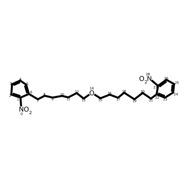 O=[N+]([O-])c1ccccc1CCCCCCCOCCCCCCCc1ccccc1[N+](=O)[O-]